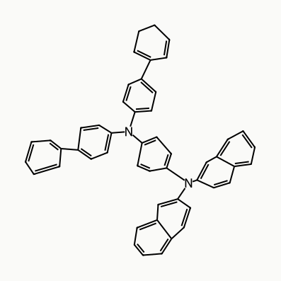 C1=CC(c2ccc(N(c3ccc(-c4ccccc4)cc3)c3ccc(N(c4ccc5ccccc5c4)c4ccc5ccccc5c4)cc3)cc2)=CCC1